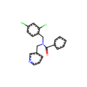 O=C(c1ccccc1)N(Cc1cccnc1)Cc1ccc(Cl)cc1Cl